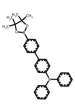 CC1(C)OB(c2ccc(-c3ccc(B(c4ccccc4)c4ccccc4)cc3)cc2)OC1(C)C